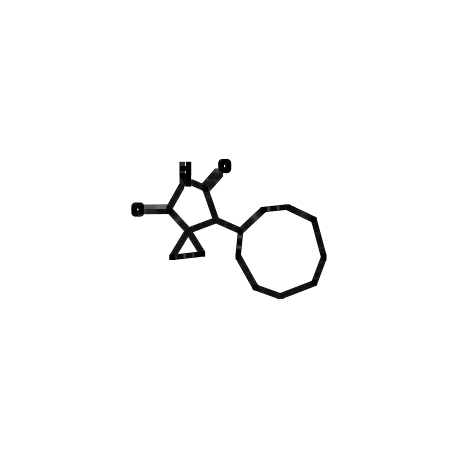 O=C1NC(=O)C2(CC2)C1C1CCCCCCCC1